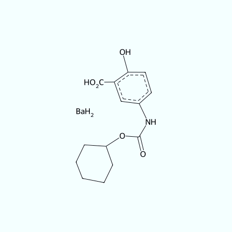 O=C(Nc1ccc(O)c(C(=O)O)c1)OC1CCCCC1.[BaH2]